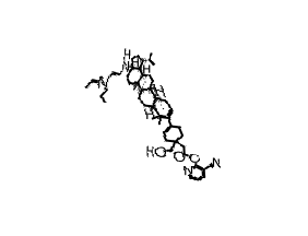 C=C(C)[C@@H]1CC[C@]2(NCCN(CC)CCC)CC[C@]3(C)[C@H](CC[C@@H]4[C@@]5(C)CC=C(C6=CCC(CCOc7ncccc7C#N)(C(=O)O)CC6)C(C)(C)[C@@H]5CC[C@]43C)[C@@H]12